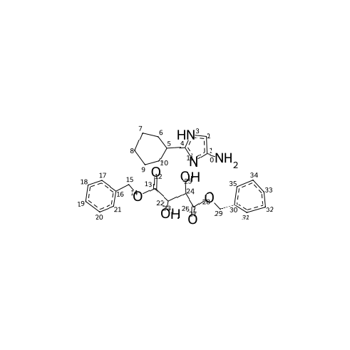 Nc1c[nH]c(C2CCCCC2)n1.O=C(OCc1ccccc1)C(O)C(O)C(=O)OCc1ccccc1